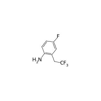 Nc1ccc(F)cc1CC(F)(F)F